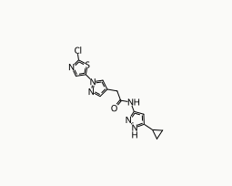 O=C(Cc1cnn(-c2cnc(Cl)s2)c1)Nc1cc(C2CC2)[nH]n1